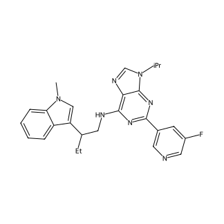 CCC(CNc1nc(-c2cncc(F)c2)nc2c1ncn2C(C)C)c1cn(C)c2ccccc12